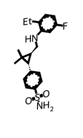 CCc1ccc(F)cc1NC[C@H]1[C@H](c2ccc(S(N)(=O)=O)cc2)C1(C)C